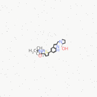 CC(C)(C)NC(=O)c1ccc(-c2ccc3[nH]c(CN4CCC[C@@H]4CO)cc3c2)s1